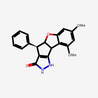 COc1cc(OC)c2c(c1)OC1C2c2[nH][nH]c(=O)c2[C@H]1c1ccccc1